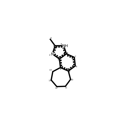 Cc1nc2c3c(ccc2[nH]1)CCCCC3